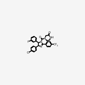 O=C1CN(C(=O)N2C(c3ccc(C(F)(F)F)cc3)=NC(c3ccc(Cl)cc3)C2c2cccc(F)c2)CCN1